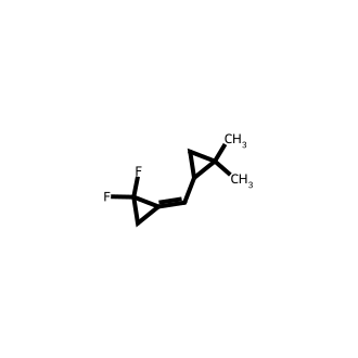 CC1(C)CC1C=C1CC1(F)F